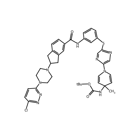 CC1(NC(=O)OC(C)(C)C)C=CN(c2cnc(Sc3cccc(NC(=O)c4ccc5c(c4)CC(N4CCN(c6ccc(Cl)nn6)CC4)C5)c3)cn2)C=C1